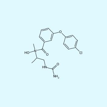 CC(CNC(N)=O)[N+](C)(O)C(=O)c1cccc(Oc2ccc(Cl)cc2)c1